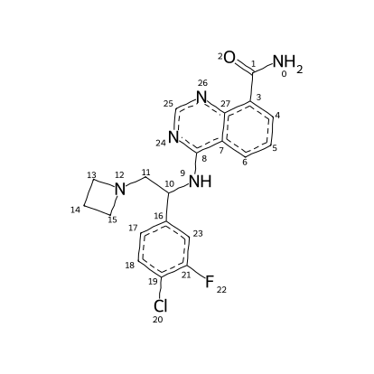 NC(=O)c1cccc2c(NC(CN3CCC3)c3ccc(Cl)c(F)c3)ncnc12